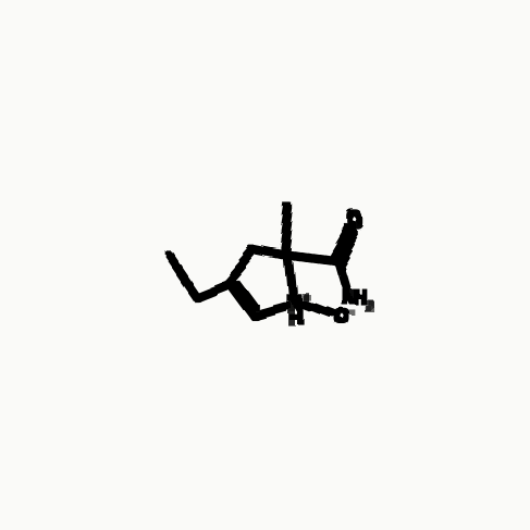 CCC1=C[NH+]([O-])C(C)(C(N)=O)C1